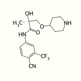 C[C@](O)(COC1CCNCC1)C(=O)Nc1ccc(C#N)c(C(F)(F)F)c1